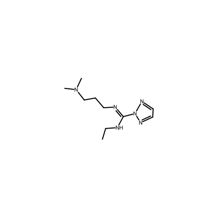 CCN/C(=N\CCCN(C)C)n1nccn1